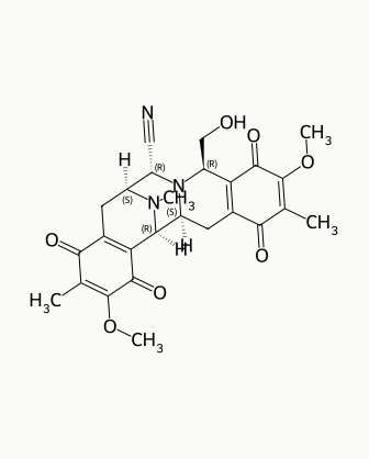 COC1=C(C)C(=O)C2=C(C1=O)[C@@H]1[C@@H]3CC4=C(C(=O)C(OC)=C(C)C4=O)[C@H](CO)N3[C@@H](C#N)[C@H](C2)N1C